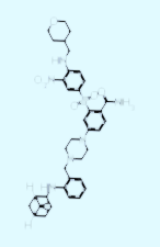 CC1(C)[C@H]2CCC(Nc3ccccc3CN3CCN(c4ccc(C(N)=O)c(S(=O)(=O)c5ccc(NCC6CCOCC6)c([N+](=O)[O-])c5)c4)CC3)[C@@H]1C2